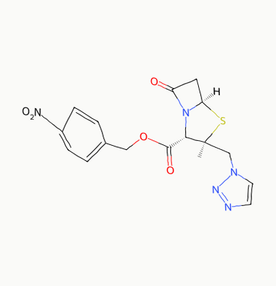 C[C@@]1(Cn2ccnn2)S[C@@H]2CC(=O)N2[C@H]1C(=O)OCc1ccc([N+](=O)[O-])cc1